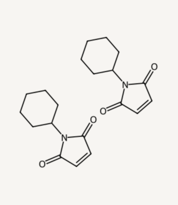 O=C1C=CC(=O)N1C1CCCCC1.O=C1C=CC(=O)N1C1CCCCC1